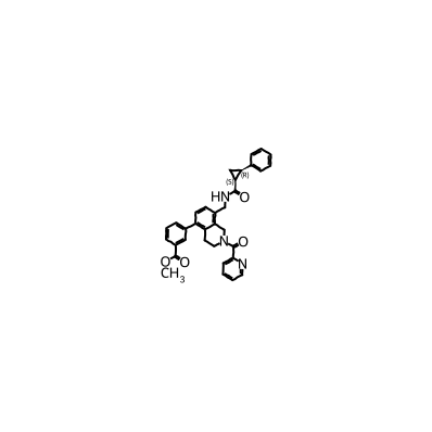 COC(=O)c1cccc(-c2ccc(CNC(=O)[C@H]3C[C@H]3c3ccccc3)c3c2CCN(C(=O)c2ccccn2)C3)c1